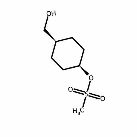 CS(=O)(=O)O[C@H]1CC[C@@H](CO)CC1